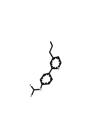 CCCc1ccnc(-c2ccc(OC(F)F)cc2)c1